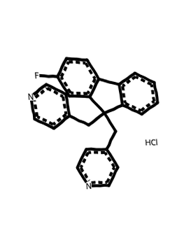 Cl.Fc1ccc2c(c1)C(Cc1ccncc1)(Cc1ccncc1)c1ccccc1-2